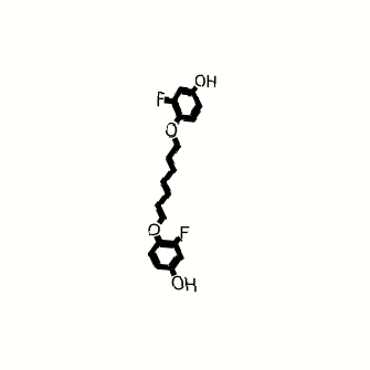 Oc1ccc(OCCCCCCCOc2ccc(O)cc2F)c(F)c1